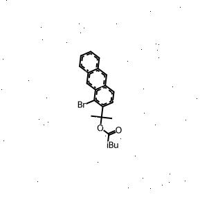 CCC(C)C(=O)OC(C)(C)c1ccc2cc3ccccc3cc2c1Br